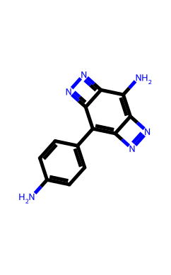 Nc1ccc(-c2c3nnc3c(N)c3nnc23)cc1